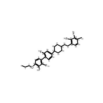 CCCOc1ccc(-c2ccc(C3CCC(CCc4ccc(C)c(F)c4F)CC3)cc2F)c(F)c1F